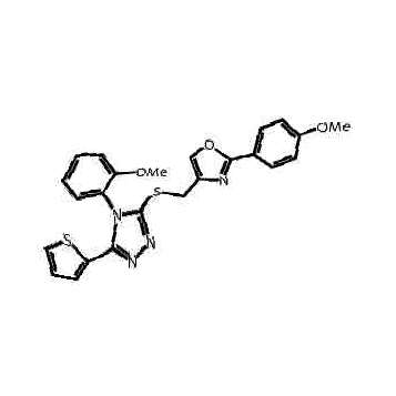 COc1ccc(-c2nc(CSc3nnc(-c4cccs4)n3-c3ccccc3OC)co2)cc1